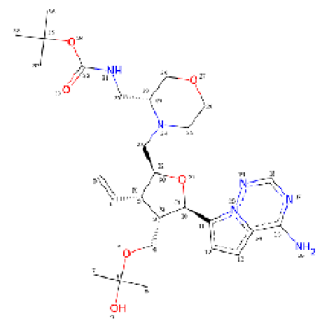 C=C[C@H]1[C@@H](COC(C)(C)O)[C@H](c2ccc3c(N)ncnn23)O[C@@H]1CN1CCOC[C@H]1CNC(=O)OC(C)(C)C